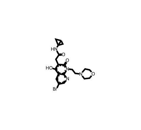 O=C(Cc1c(O)c2cc(Br)cnc2n(CCN2CCOCC2)c1=O)NC12CC1C2